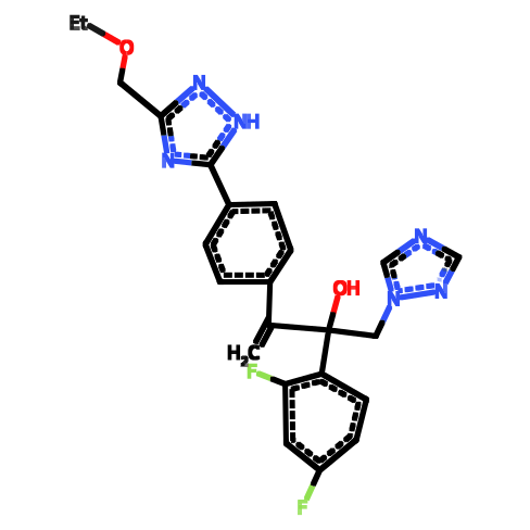 C=C(c1ccc(-c2nc(COCC)n[nH]2)cc1)C(O)(Cn1cncn1)c1ccc(F)cc1F